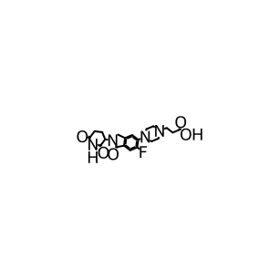 O=C(O)CCN1CCN(c2cc3c(cc2F)C(=O)N(C2CCC(=O)NC2=O)C3)CC1